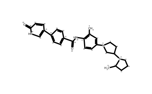 Cc1cc(N2CCC(N3CCCC3C)C2)ccc1NC(=O)c1ccc(-c2ccc(=O)[nH]c2)cc1